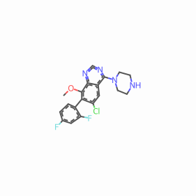 COc1c(-c2ccc(F)cc2F)c(Cl)cc2c(N3CCNCC3)ncnc12